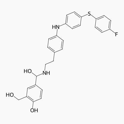 OCc1cc(C(O)NCCc2ccc(Nc3ccc(Sc4ccc(F)cc4)cc3)cc2)ccc1O